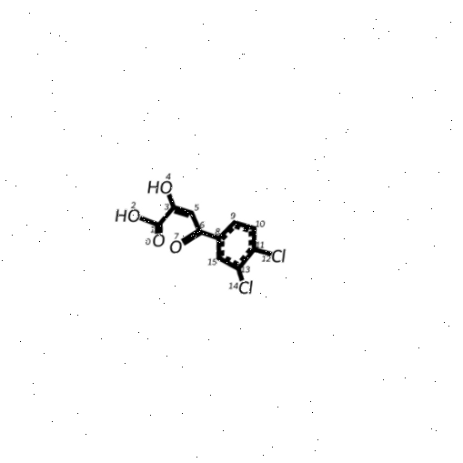 O=C(O)/C(O)=C\C(=O)c1ccc(Cl)c(Cl)c1